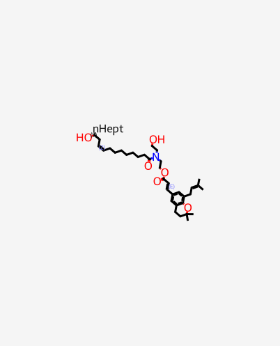 CCCCCCC[C@H](O)C/C=C\CCCCCCCC(=O)N(CCO)CCOC(=O)/C=C/c1cc(CC=C(C)C)c2c(c1)CCC(C)(C)O2